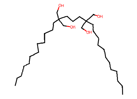 CCCCCCCCCCCCC(CO)(CO)CCCC(CO)(CO)CCCCCCCCCCCC